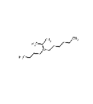 CCCCCCN(CCCC)C(C)C